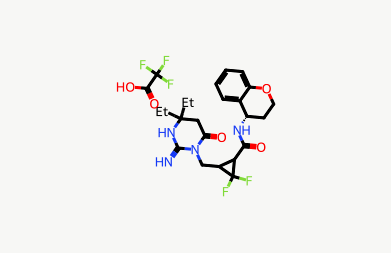 CCC1(CC)CC(=O)N(CC2C(C(=O)N[C@H]3CCOc4ccccc43)C2(F)F)C(=N)N1.O=C(O)C(F)(F)F